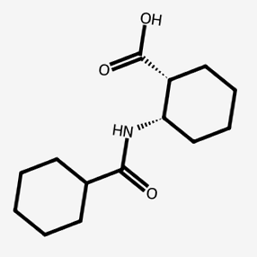 O=C(N[C@H]1CCCC[C@H]1C(=O)O)C1CCCCC1